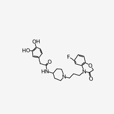 O=C(Cc1ccc(O)c(O)c1)NC1CCN(CCCN2C(=O)COc3ccc(F)cc32)CC1